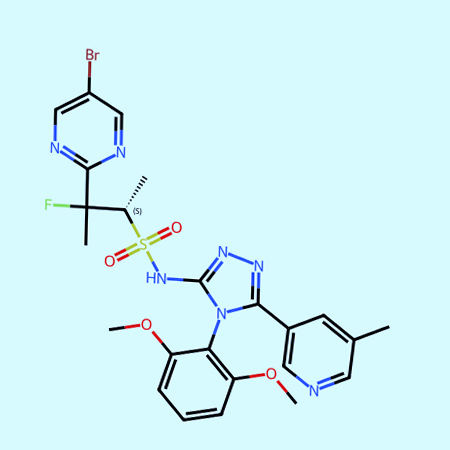 COc1cccc(OC)c1-n1c(NS(=O)(=O)[C@@H](C)C(C)(F)c2ncc(Br)cn2)nnc1-c1cncc(C)c1